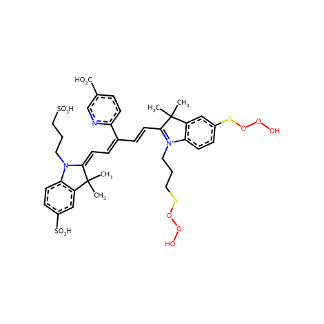 CC1(C)C(/C=C/C(=C/C=C2/N(CCCS(=O)(=O)O)c3ccc(S(=O)(=O)O)cc3C2(C)C)c2ccc(C(=O)O)cn2)=[N+](CCCSOOO)c2ccc(SOOO)cc21